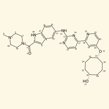 CN1CCN(C(=O)c2cc3cc(Nc4nccc(-c5cc(O[C@H]6CCC[C@@H](O)CCC6)ccn5)n4)ccc3[nH]2)CC1